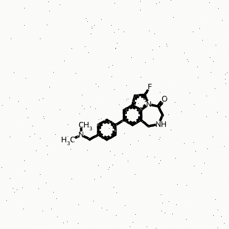 CN(C)Cc1ccc(-c2cc3c4c(c2)cc(F)n4C(=O)CNC3)cc1